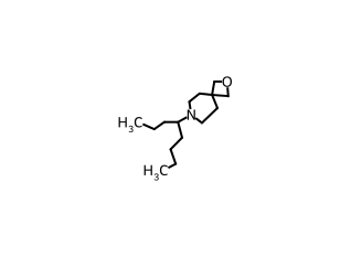 CCCCC(CCC)N1CCC2(CC1)COC2